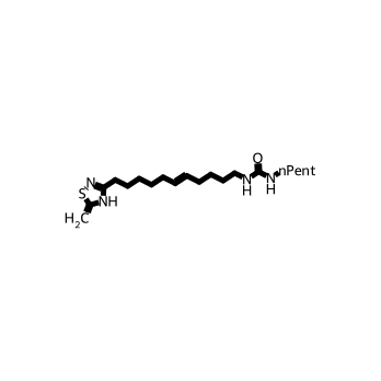 C=C1NC(CCCCC/C=C/CCCCNC(=O)NCCCCC)=NS1